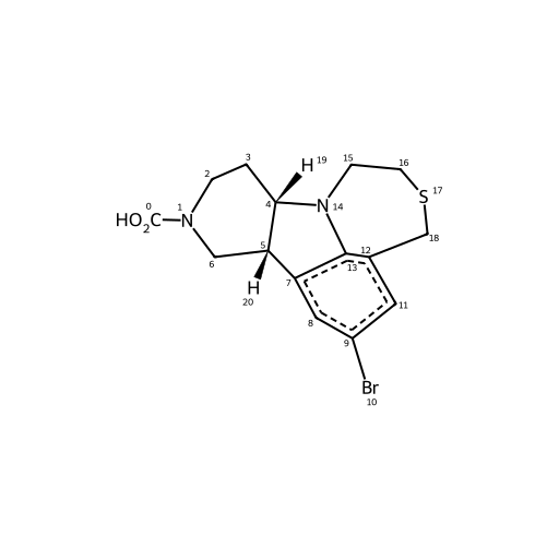 O=C(O)N1CC[C@H]2[C@@H](C1)c1cc(Br)cc3c1N2CCSC3